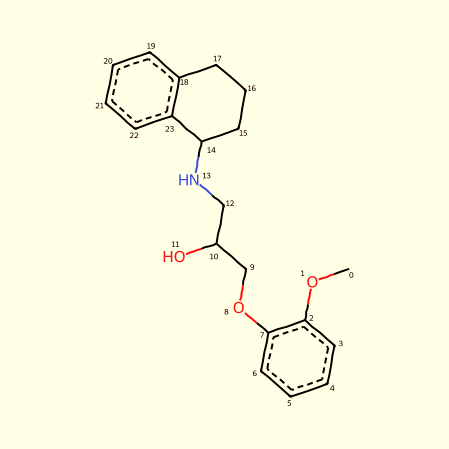 COc1ccccc1OCC(O)CNC1CCCc2ccccc21